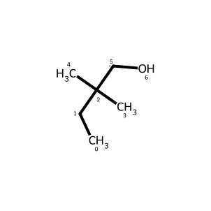 CCC(C)(C)[CH]O